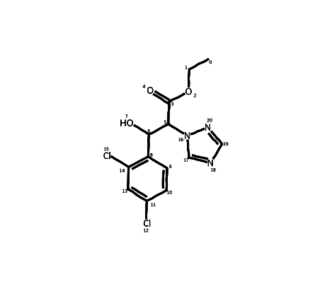 CCOC(=O)C(C(O)c1ccc(Cl)cc1Cl)n1cncn1